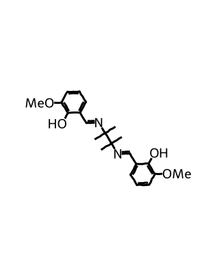 COc1cccc(/C=N/C(C)(C)C(C)(C)/N=C/c2cccc(OC)c2O)c1O